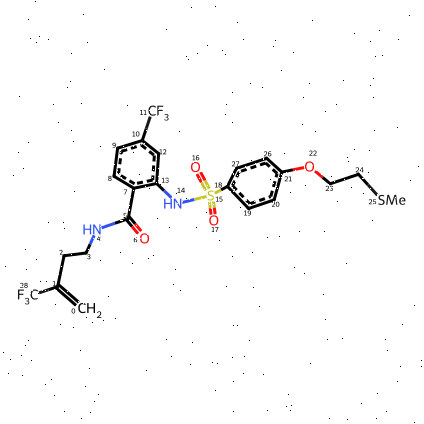 C=C(CCNC(=O)c1ccc(C(F)(F)F)cc1NS(=O)(=O)c1ccc(OCCSC)cc1)C(F)(F)F